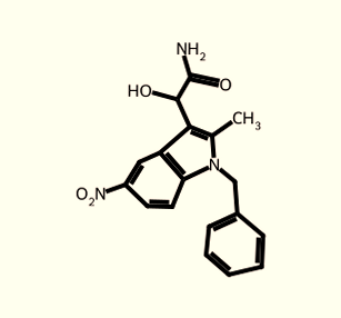 Cc1c(C(O)C(N)=O)c2cc([N+](=O)[O-])ccc2n1Cc1ccccc1